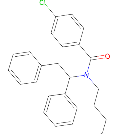 CCOC(=O)CCCN(C(=O)c1ccc(Cl)cc1)C(Cc1ccccc1)c1ccccc1